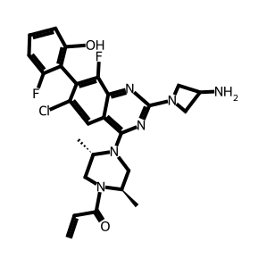 C=CC(=O)N1C[C@H](C)N(c2nc(N3CC(N)C3)nc3c(F)c(-c4c(O)cccc4F)c(Cl)cc23)C[C@H]1C